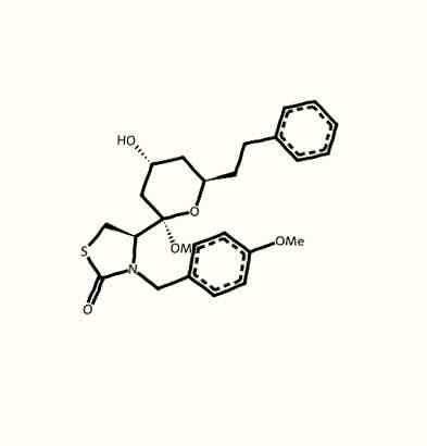 COc1ccc(CN2C(=O)SC[C@H]2[C@@]2(OC)C[C@H](O)C[C@@H](CCc3ccccc3)O2)cc1